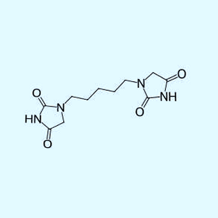 O=C1CN(CCCCCN2CC(=O)NC2=O)C(=O)N1